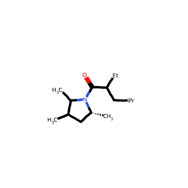 CCC(CC(C)C)C(=O)N1C(C)C(C)C[C@H]1C